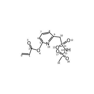 C=CC(=O)Oc1cccc(CS(=O)(=O)NS(C)(=O)=O)n1